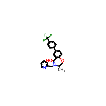 C[C@H]1COc2ccc(-c3ccc(C(F)(F)F)cc3)cc2C(O)N1Cc1ccccn1